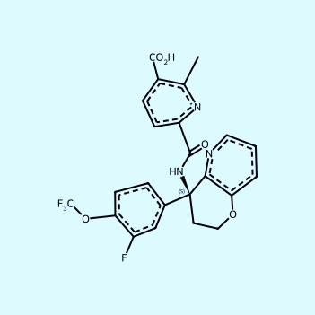 Cc1nc(C(=O)N[C@]2(c3ccc(OC(F)(F)F)c(F)c3)CCOc3cccnc32)ccc1C(=O)O